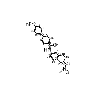 CCCc1ccc(-c2ccc(C(=O)Nc3ccc4c(c3)CCC(CN(C)C)C4)cc2)cc1